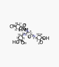 COc1cc(/C=C/C(=O)CC(/C=C/c2ccc(O)c(OC)c2)=N/NC(=O)c2ccc(Cl)cc2)ccc1O